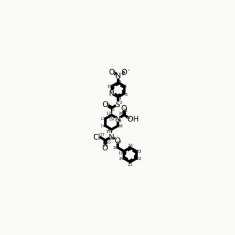 O=C(Sc1ccc([N+](=O)[O-])cn1)[C@@H]1CC[C@@H](N(OCc2ccccc2)C(=O)Cl)CN1C(=O)O